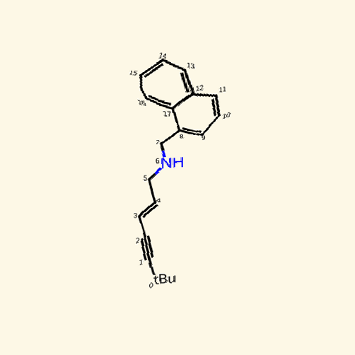 CC(C)(C)C#C/C=C/CNCc1cccc2ccccc12